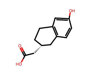 O=C(O)C[C@@H]1CCc2cc(O)ccc2C1